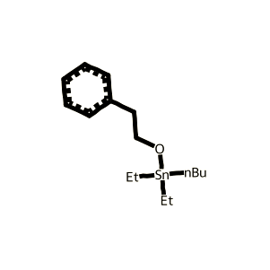 CCC[CH2][Sn]([CH2]C)([CH2]C)[O]CCc1ccccc1